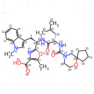 Cc1oc([C@@H](Cc2cn(C)c3ccccc23)NC(=O)[C@H](CC(C)C)NC(=O)N2CCOC3(CCCC3)C2)nc1C(=O)O